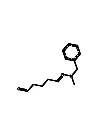 CN(Cc1ccccc1)/N=C/CCCC=O